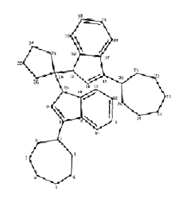 C1=C(C2CCCCCC2)c2ccccc2C1C1(C2C=C(C3CCCCCC3)c3ccccc32)CCCC1